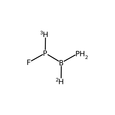 [2H]B(P)P([3H])F